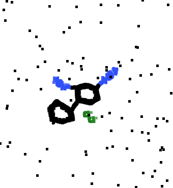 N#[N+]c1ccc(-c2ccccc2)c([N+]#N)c1.[Cl-].[Cl-]